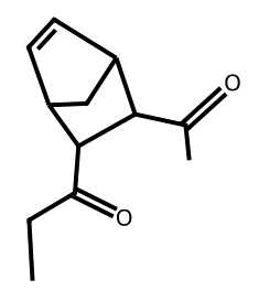 CCC(=O)C1C2C=CC(C2)C1C(C)=O